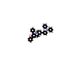 CC1(C)C2=CC(c3cccc(N(c4ccccc4)c4ccccc4)c3)=CCC2(C)n2c3ccccc3c3c4oc5ccccc5c4cc1c32